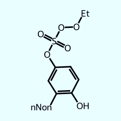 CCCCCCCCCc1cc(OS(=O)(=O)OOCC)ccc1O